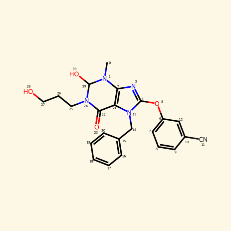 CN1c2nc(Oc3cccc(C#N)c3)n(Cc3ccccc3)c2C(=O)N(CCCO)C1O